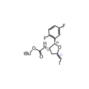 CC(C)(C)OC(=O)N[C@H]1C/C(=C\I)O[C@@H]1c1cc(F)ccc1F